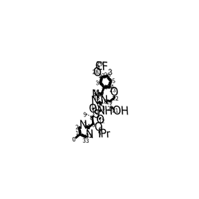 Cc1cnc([C@H](OC(C)C)[C@H](C)S(=O)(=O)Nc2nnc3n2[C@@H](CO)COc2ccc(OC(F)(F)F)cc2-3)nc1